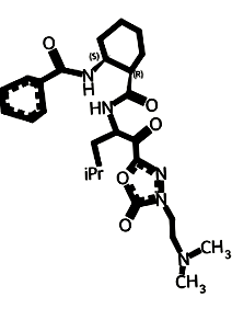 CC(C)CC(NC(=O)[C@@H]1CCCC[C@@H]1NC(=O)c1ccccc1)C(=O)c1nn(CCN(C)C)c(=O)o1